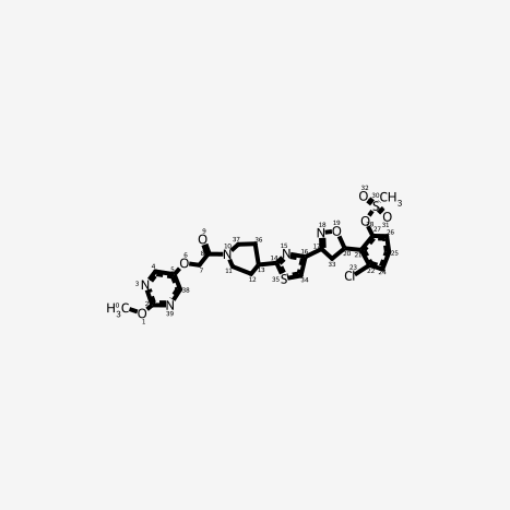 COc1ncc(OCC(=O)N2CCC(c3nc(C4=NOC(c5c(Cl)cccc5OS(C)(=O)=O)C4)cs3)CC2)cn1